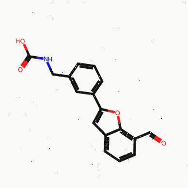 O=Cc1cccc2cc(-c3cccc(CNC(=O)O)c3)oc12